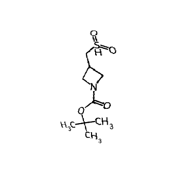 CC(C)(C)OC(=O)N1CC(C[SH](=O)=O)C1